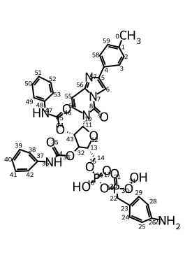 Cc1ccc(-c2cn3c(=O)n([C@@H]4O[C@H](COP(=O)(O)OP(=O)(Cc5ccc(N)cc5)OO)C(OC(=O)Nc5ccccc5)[C@@H]4OC(=O)Nc4ccccc4)ccc3n2)cc1